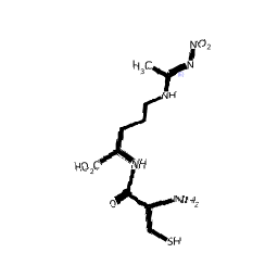 C/C(=N\[N+](=O)[O-])NCCCC(NC(=O)C(N)CS)C(=O)O